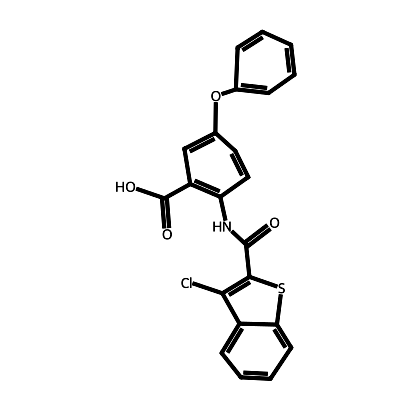 O=C(O)c1cc(Oc2ccccc2)ccc1NC(=O)c1sc2ccccc2c1Cl